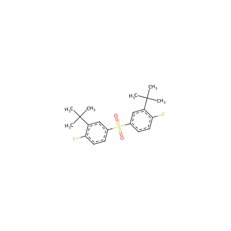 CC(C)(C)c1cc(S(=O)(=O)c2ccc(F)c(C(C)(C)C)c2)ccc1F